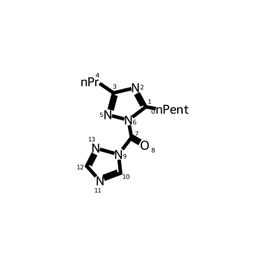 CCCCCc1nc(CCC)nn1C(=O)n1cncn1